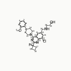 COc1ccccc1C1CCN(c2nc(C3(F)CCC3)nc3c(Cl)cc(CNCCO)cc23)CC1